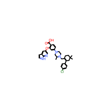 CC1CN(c2ccc(C(=O)O)c(Oc3cnc4[nH]ccc4c3)c2)CCN1CC1=C(c2ccc(Cl)cc2)CC(C)(C)CC1